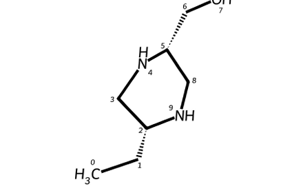 CC[C@@H]1CN[C@H](CO)CN1